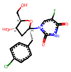 O=c1[nH]c(=O)n([C@@]2(Cc3ccc(Cl)cc3)C[C@H](O)[C@@H](CO)O2)cc1F